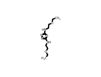 CCOCCNc1nnc(NCCOCC)s1